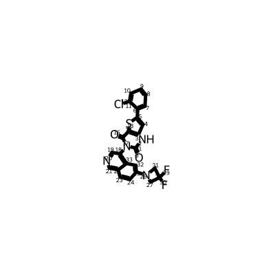 O=c1[nH]c2cc(-c3ccccc3Cl)sc2c(=O)n1-c1cncc2ccc(N3CC(F)(F)C3)cc12